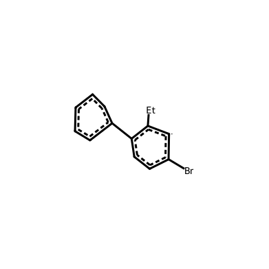 CCc1[c]c(Br)ccc1-c1ccccc1